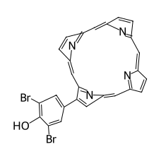 Oc1c(Br)cc(C2=CC3=CC4=NC(=CC5=NC(=CC6=NC(=CC2=N3)C=C6)C=C5)C=C4)cc1Br